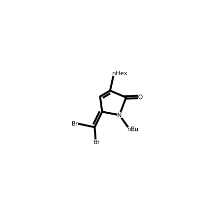 CCCCCCC1=CC(=C(Br)Br)N(CCCC)C1=O